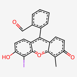 Cc1c2oc3c(I)c(O)ccc3c(-c3ccccc3C=O)c-2ccc1=O